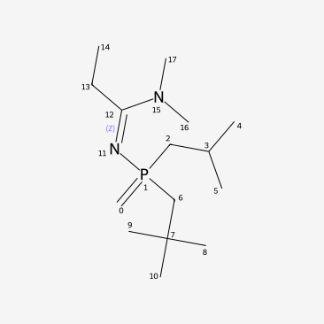 C=P(CC(C)C)(CC(C)(C)C)/N=C(/CC)N(C)C